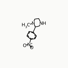 CN1CCNC[C]1c1ccc([N+](=O)[O-])cc1